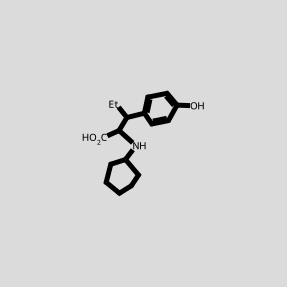 CCC(c1ccc(O)cc1)C(NC1CCCCC1)C(=O)O